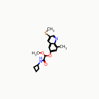 COC(Oc1cc(C)c2ncc(SC)cc2c1)C(=O)NC1CCC1